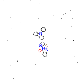 O=c1c2ccccc2nc2sc3cc(-c4ccc5c(c4)c4ccccc4n5-c4ccccc4)cnc3n12